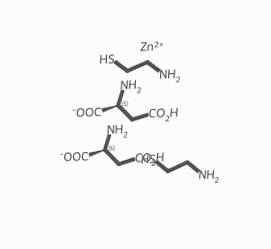 NCCS.NCCS.N[C@@H](CC(=O)O)C(=O)[O-].N[C@@H](CC(=O)O)C(=O)[O-].[Zn+2]